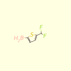 Bc1ccc(C(F)F)s1